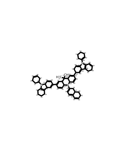 CC1(C)C2C=C(C3=CC4C5=C(CCCC5)N(C5CC=CCC5)C4C=C3)C=CC2N(C2=CC=C3C=CCCC3C2)C2C=CC(C3C=c4c5c(n(C6=CCCCC6)c4=CC3)C=CCC5)=CC21